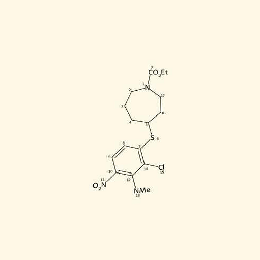 CCOC(=O)N1CCCC(Sc2ccc([N+](=O)[O-])c(NC)c2Cl)CC1